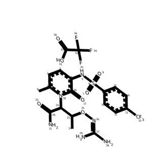 Cc1ccc(NS(=O)(=O)c2ccc(C(F)(F)F)cc2)c(=O)n1C(C(N)=O)C(C)ON=C(N)N.O=C(O)C(F)(F)F